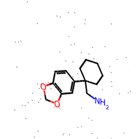 NCC1(c2ccc3c(c2)OCO3)CCCCC1